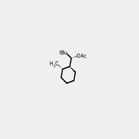 CC(=O)O[C@H]([C@H]1CCCC[C@@H]1C)C(C)(C)C